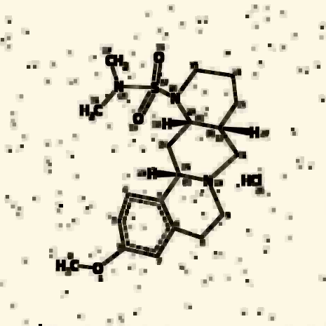 COc1ccc2c(c1)CCN1C[C@H]3CCCN(S(=O)(=O)N(C)C)[C@H]3C[C@@H]21.Cl